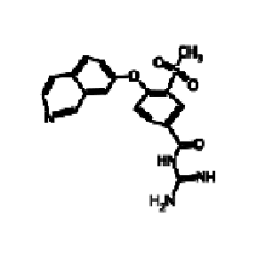 CS(=O)(=O)c1cc(C(=O)NC(=N)N)ccc1Oc1ccc2ccncc2c1